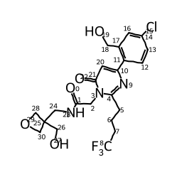 O=C(Cn1c(CCCC(F)(F)F)nc(-c2ccc(Cl)cc2CO)cc1=O)NCC1(CO)COC1